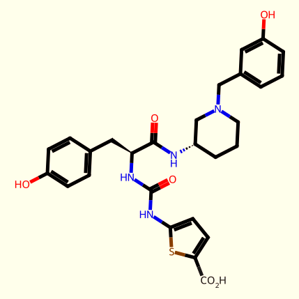 O=C(Nc1ccc(C(=O)O)s1)N[C@@H](Cc1ccc(O)cc1)C(=O)N[C@H]1CCCN(Cc2cccc(O)c2)C1